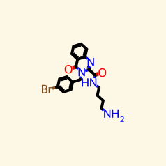 NCCCCNC(=O)c1nc2ccccc2c(=O)n1Cc1ccc(Br)cc1